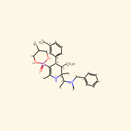 CCC1COP(=O)(C2=C(C)NC(C)(C(C)N(C)Cc3ccccc3)C(C(=O)O)C2c2cccc([N+](=O)[O-])c2)OC1